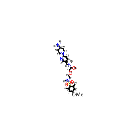 COc1cc(C)c(S(=O)(=O)N(C)CCOCC(=O)N(C)Cc2ccc(N3CCC(N(C)C)CC3)nc2)c(C)c1